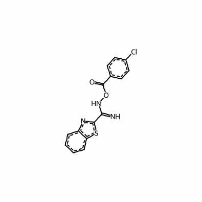 N=C(NOC(=O)c1ccc(Cl)cc1)c1nc2ccccc2s1